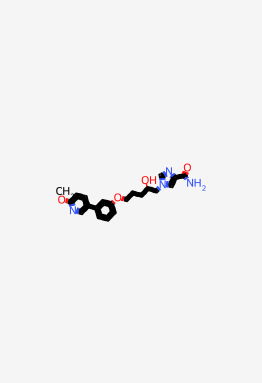 COc1ccc(-c2cccc(OCCC[C@H](O)Cn3cnc(C(N)=O)c3)c2)cn1